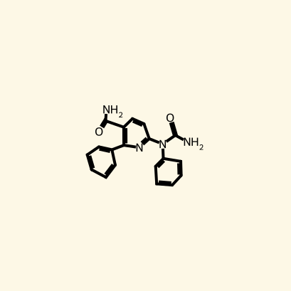 NC(=O)c1ccc(N(C(N)=O)c2ccccc2)nc1-c1ccccc1